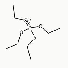 CCOP(OCC)(SCC)=[SH]CC